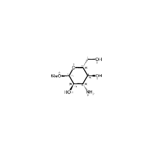 CO[C@H]1O[C@H](CO)[C@@H](O)[C@H](N)[C@H]1O